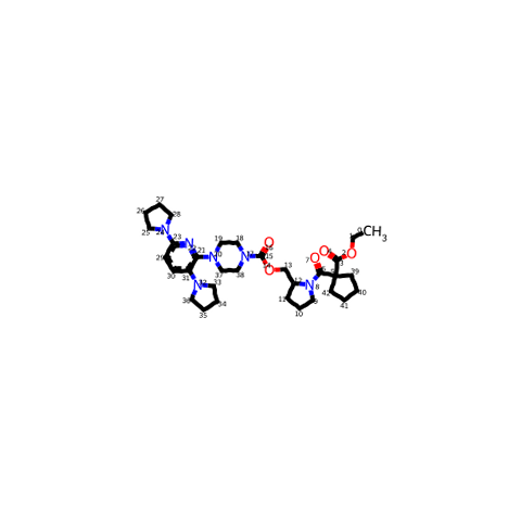 CCOC(=O)C1(C(=O)N2CCCC2COC(=O)N2CCN(c3nc(N4CCCC4)ccc3N3CCCC3)CC2)CCCC1